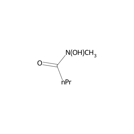 [CH2]CCC(=O)N(C)O